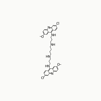 COc1ccc2nc3cc(Cl)ccc3c(NCCCNCCCCNCCCNc3c4ccc(Cl)cc4nc4ccc(OC)cc34)c2c1